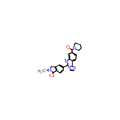 CN1Cc2cc(-c3nc4cc(C(=O)N5CCCCC5)ccc4c4nccn34)ccc2C1=O